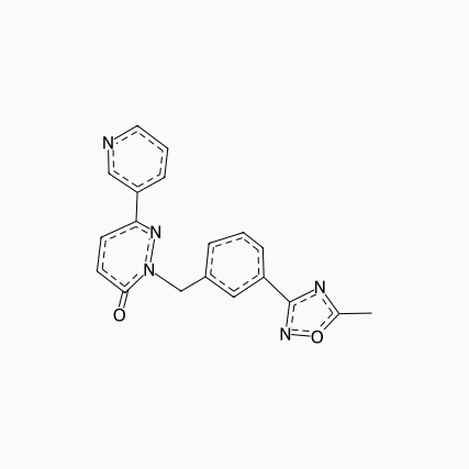 Cc1nc(-c2cccc(Cn3nc(-c4cccnc4)ccc3=O)c2)no1